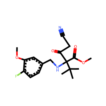 COC(=O)C(NCc1ccc(F)c(OC)c1)(C(=O)CC#N)C(C)(C)C